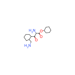 NCC1CCCCC1C(=O)C(N)C(=O)OC1CCCCC1